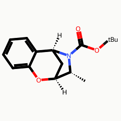 C[C@@H]1[C@@H]2C[C@@H](c3ccccc3O2)N1C(=O)OC(C)(C)C